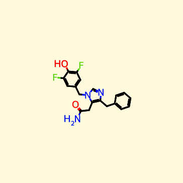 NC(=O)Cc1c(Cc2ccccc2)ncn1Cc1cc(F)c(O)c(F)c1